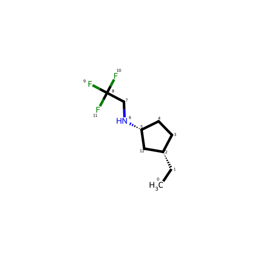 CC[C@H]1CC[C@@H](NCC(F)(F)F)C1